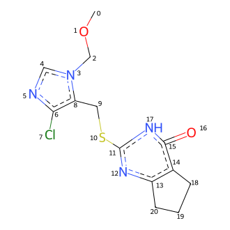 COCn1cnc(Cl)c1CSc1nc2c(c(=O)[nH]1)CCC2